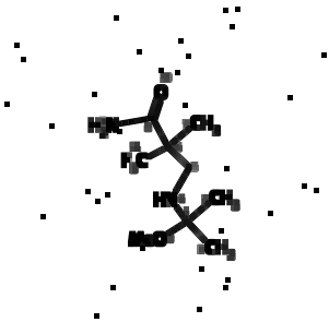 COC(C)(C)NCC(C)(C(N)=O)C(F)(F)F